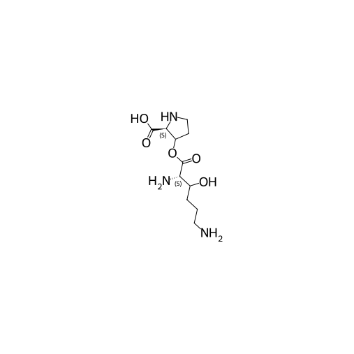 NCCCC(O)[C@H](N)C(=O)OC1CCN[C@@H]1C(=O)O